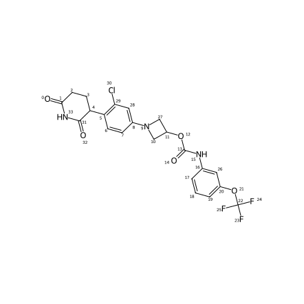 O=C1CCC(c2ccc(N3CC(OC(=O)Nc4cccc(OC(F)(F)F)c4)C3)cc2Cl)C(=O)N1